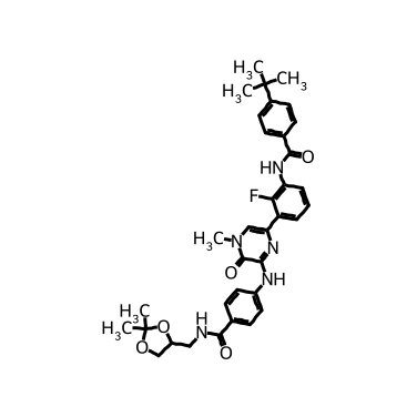 Cn1cc(-c2cccc(NC(=O)c3ccc(C(C)(C)C)cc3)c2F)nc(Nc2ccc(C(=O)NCC3COC(C)(C)O3)cc2)c1=O